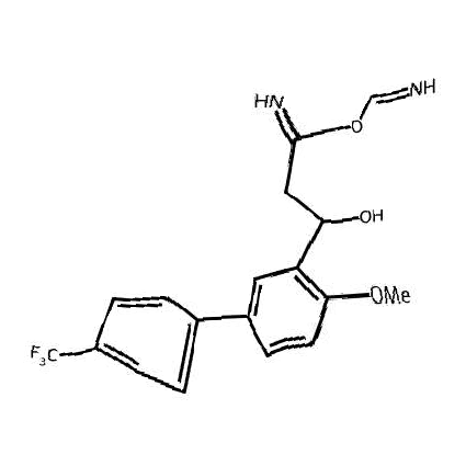 COc1ccc(-c2ccc(C(F)(F)F)cc2)cc1C(O)CC(=N)OC=N